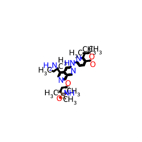 CCC(C)(N)c1cnc(O[C@H](C)C[C@@H](C)[S@](C)(=N)=O)c2cnc(Nc3ccc4c(n3)C(C)(C)[C@H](C)OC4=O)cc12